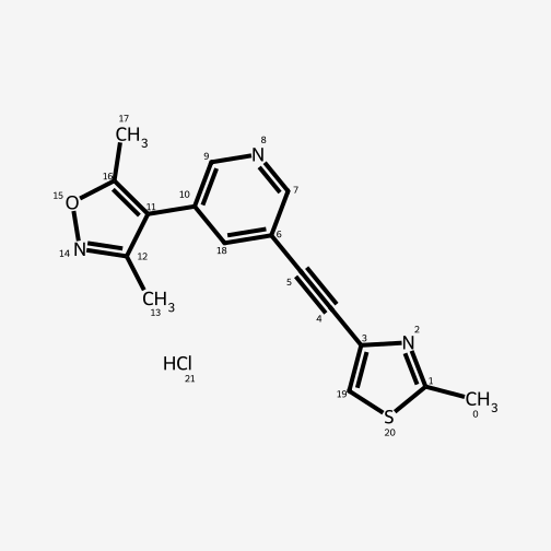 Cc1nc(C#Cc2cncc(-c3c(C)noc3C)c2)cs1.Cl